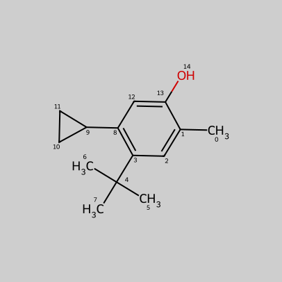 Cc1cc(C(C)(C)C)c(C2CC2)cc1O